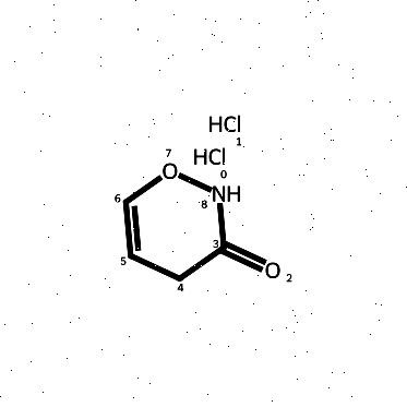 Cl.Cl.O=C1CC=CON1